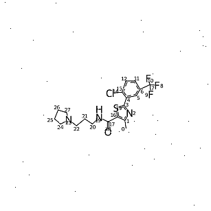 Cc1nc(-c2cc(C(F)(F)F)ccc2Cl)sc1C(=O)NCCCN1CCCC1